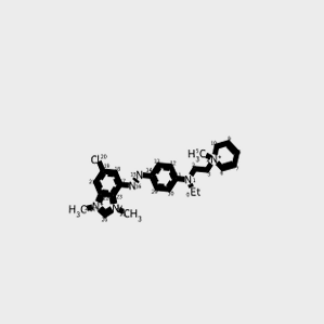 CCN(CC[N+]1(C)C=CC=CC1)c1ccc(/N=N/c2cc(Cl)cc3c2n(C)c[n+]3C)cc1